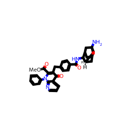 COC(=O)c1c(Cc2ccc(C(=O)NC3C4CC5C[C@@H]3CC(N)(C5)C4)cc2)c(=O)c2cccnc2n1-c1ccccc1